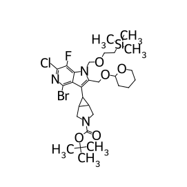 CC(C)(C)OC(=O)N1CC2C(C1)C2c1c(COC2CCCCO2)n(COCC[Si](C)(C)C)c2c(F)c(Cl)nc(Br)c12